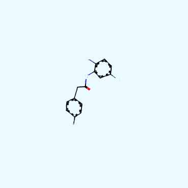 O=C(Cc1ccc(C(F)(F)F)cc1)Nc1cc(Br)ccc1I